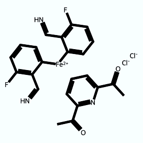 CC(=O)c1cccc(C(C)=O)n1.N=Cc1c(F)ccc[c]1[Fe+2][c]1cccc(F)c1C=N.[Cl-].[Cl-]